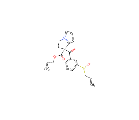 C=CCOC(=O)C1(C(=O)c2cccc([S+]([O-])CC=C)c2)CCn2cccc21